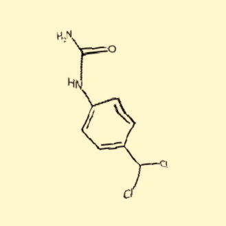 NC(=O)Nc1ccc(C(Cl)Cl)cc1